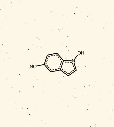 N#Cc1ccc2c(ccn2O)c1